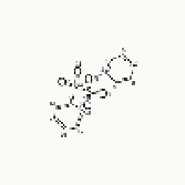 O=S(=O)(Oc1ccccc1)S(=O)(=O)c1ccccc1